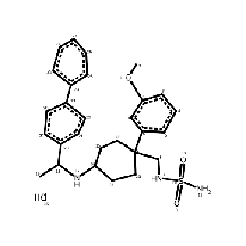 COc1cccc(C2(CNS(N)(=O)=O)CCC(NC(C)c3ccc(-c4ccccc4)cc3)CC2)c1.Cl